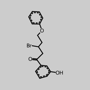 O=C(CC(Br)CCOc1ccccc1)c1cccc(O)c1